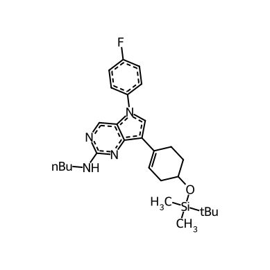 CCCCNc1ncc2c(n1)c(C1=CCC(O[Si](C)(C)C(C)(C)C)CC1)cn2-c1ccc(F)cc1